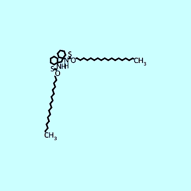 CCCCCCCCCCCCCCCCCCOC(=S)NC1(CC2(NC(=S)OCCCCCCCCCCCCCCCCCC)CCCCC2)CCCCC1